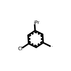 [CH2]c1cc(Cl)cc(C(C)C)c1